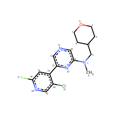 CN(CC1CCOCC1)c1cncc(-c2cc(F)ncc2Cl)n1